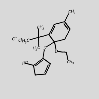 CCOC1(SC2=[C]([Ti+2])CC=C2)CC=C(C)C=C1C(C)(C)C.[Cl-].[Cl-]